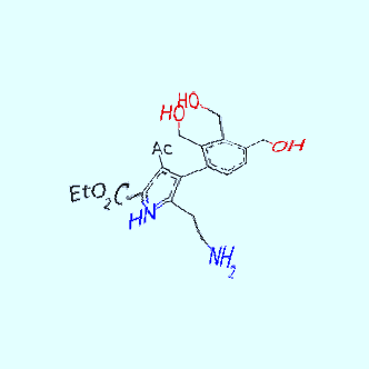 CCOC(=O)c1[nH]c(CCN)c(-c2ccc(CO)c(CO)c2CO)c1C(C)=O